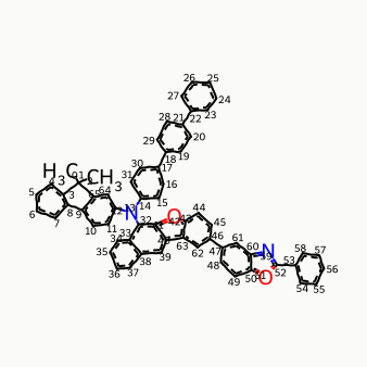 CC1(C)c2ccccc2-c2ccc(N(c3ccc(-c4ccc(-c5ccccc5)cc4)cc3)c3c4ccccc4cc4c3oc3ccc(-c5ccc6oc(-c7ccccc7)nc6c5)cc34)cc21